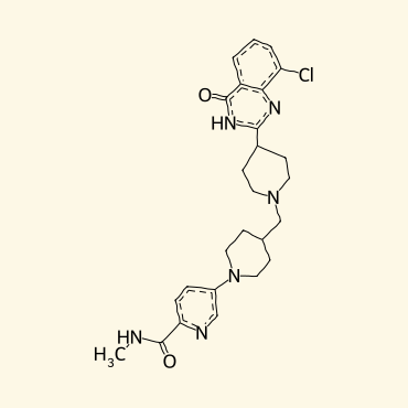 CNC(=O)c1ccc(N2CCC(CN3CCC(c4nc5c(Cl)cccc5c(=O)[nH]4)CC3)CC2)cn1